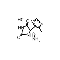 Cc1scnc1[C@@]1(CN)NC(=O)NC1=O.Cl